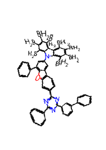 Bc1c(B)c(B)c2c(c1B)c1c(B)c(B)c(B)c(B)c1n2-c1cc(-c2ccccc2)c2oc3cc(-c4nc(-c5ccccc5)nc(-c5cccc(-c6ccccc6)c5)n4)ccc3c2c1